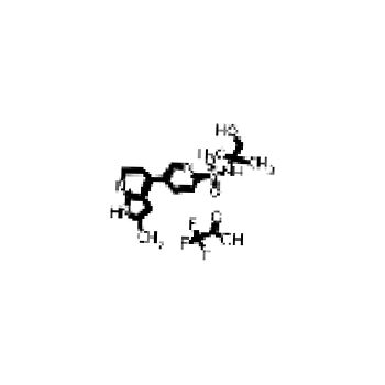 Cc1cc2c(-c3ccc(S(=O)(=O)NC(C)(C)CO)nc3)ccnc2[nH]1.O=C(O)C(F)(F)F